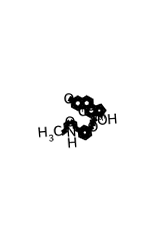 CCC1COCC(c2cccc(OCC[C@]34CCC5C(CCC6CC(=O)CC[C@@]65C)C3CC[C@@H]4O)c2)N1